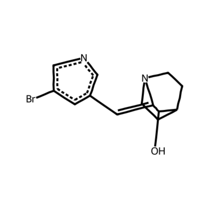 OC1C(=Cc2cncc(Br)c2)N2CCC1CC2